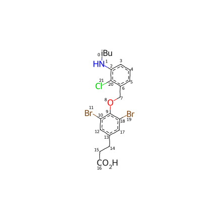 CCC(C)Nc1cccc(COc2c(Br)cc(CCC(=O)O)cc2Br)c1Cl